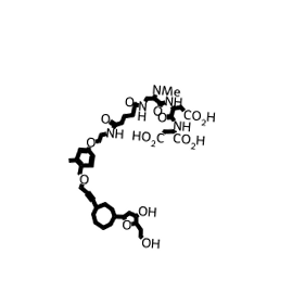 CNC(CNC(=O)CCCC(=O)NCCOc1ccc(COCC#CC2CCCCC(C3CC(O)C(CCO)O3)CC2)c(C)c1)C(=O)NC(CC(=O)O)C(=O)NC(CC(=O)O)C(=O)O